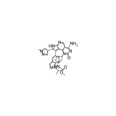 COC(=O)N[C@@H]1CC[C@@H](n2c(=O)nc(N)c3cnc4[nH]c(-c5cnn(C)c5)c(-c5ccc6c(cnn6C(C)C)c5)c4c32)C1